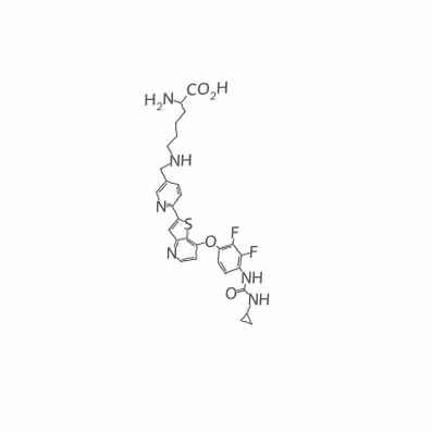 NC(CCCCNCc1ccc(-c2cc3nccc(Oc4ccc(NC(=O)NC5CC5)c(F)c4F)c3s2)nc1)C(=O)O